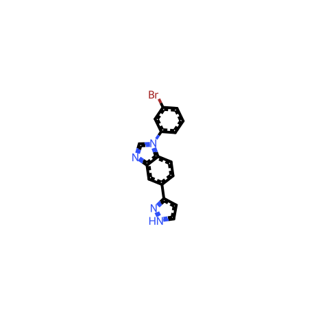 Brc1cccc(-n2cnc3cc(-c4cc[nH]n4)ccc32)c1